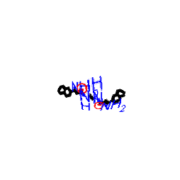 NC(=CC(=O)NCCNC(=O)C=C(N)c1ccc2ccccc2c1)c1ccc2ccccc2c1